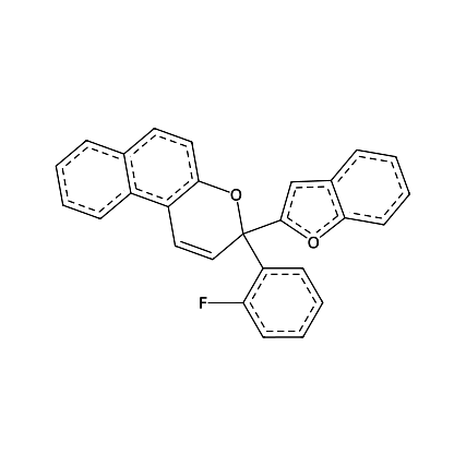 Fc1ccccc1C1(c2cc3ccccc3o2)C=Cc2c(ccc3ccccc23)O1